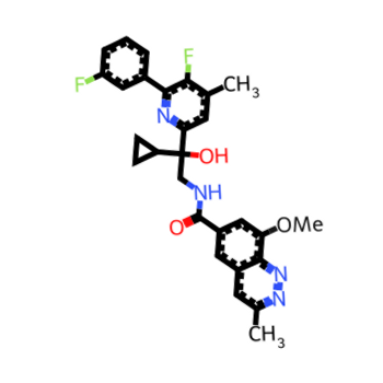 COc1cc(C(=O)NCC(O)(c2cc(C)c(F)c(-c3cccc(F)c3)n2)C2CC2)cc2cc(C)nnc12